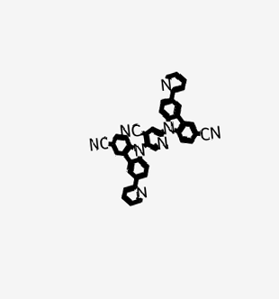 N#Cc1ccc2c(c1)c1cc(-c3ccccn3)ccc1n2-c1cc(C#N)c(-n2c3ccc(C#N)cc3c3cc(-c4ccccn4)ccc32)cn1